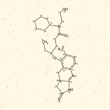 CCC(CCC(=O)N(CCO)C1CCCCC1)Oc1c(C)ccc2c1CN1CC(=O)NC1=N2